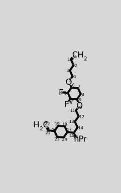 C=CCCCOC1CCC(OCCCCC(CCC)C2CCC(C=C)CC2)C(F)C1F